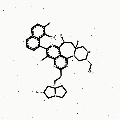 CC[C@@H]1CN2c3nc(OC[C@@]45CCCN4C[C@H](F)C5)nc4c(F)c(-c5cccc6ccc(F)c(C)c56)nc(c34)[C@@H](F)C[C@@H]2CN1